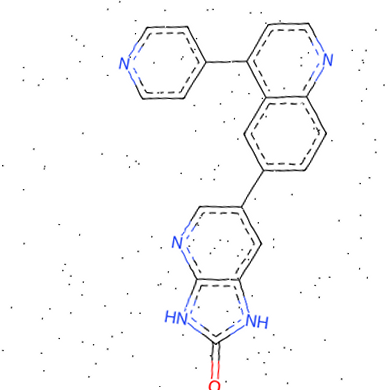 O=c1[nH]c2cc(-c3ccc4nccc(-c5ccncc5)c4c3)cnc2[nH]1